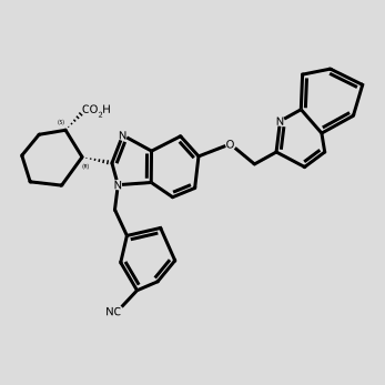 N#Cc1cccc(Cn2c([C@@H]3CCCC[C@@H]3C(=O)O)nc3cc(OCc4ccc5ccccc5n4)ccc32)c1